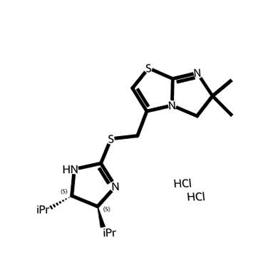 CC(C)[C@@H]1N=C(SCC2=CSC3=NC(C)(C)CN23)N[C@H]1C(C)C.Cl.Cl